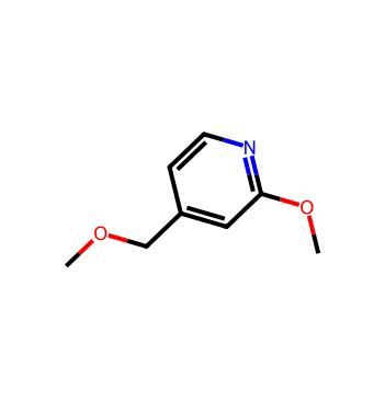 COCc1ccnc(OC)c1